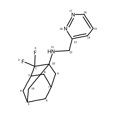 FC1(F)C2C[C]3CC(C2)CC1(NCc1cccnn1)C3